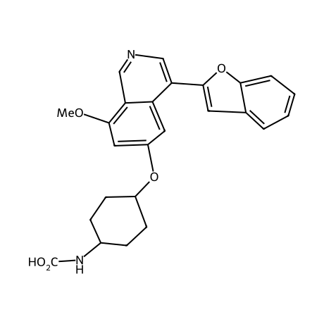 COc1cc(OC2CCC(NC(=O)O)CC2)cc2c(-c3cc4ccccc4o3)cncc12